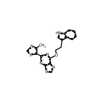 Cc1ncsc1-c1nc(OCCc2c[nH]c3ccccc23)c2ncsc2n1